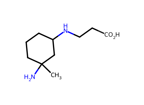 CC1(N)CCCC(NCCC(=O)O)C1